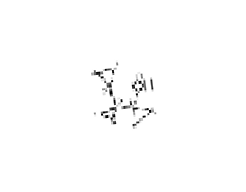 OC1(C2(C3CC3)CC2)CC1